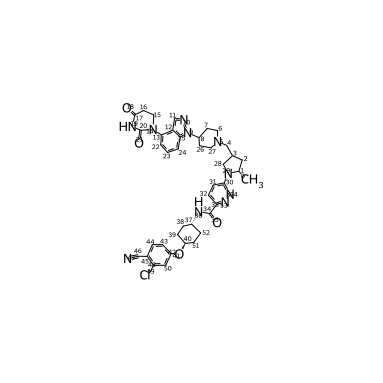 CC1CC(CN2CCC(n3ncc4c(N5CCC(=O)NC5=O)cccc43)CC2)CN1c1ccc(C(=O)N[C@H]2CC[C@H](Oc3ccc(C#N)c(Cl)c3)CC2)nn1